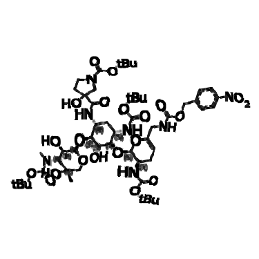 CN(C(=O)OC(C)(C)C)[C@@H]1[C@@H](O)[C@@H](O[C@@H]2[C@@H](O)[C@H](O[C@H]3OC(CNC(=O)OCc4ccc([N+](=O)[O-])cc4)=CC[C@H]3NC(=O)OC(C)(C)C)[C@@H](NC(=O)OC(C)(C)C)C[C@H]2NC(=O)C2(O)CCN(C(=O)OC(C)(C)C)C2)OC[C@]1(C)O